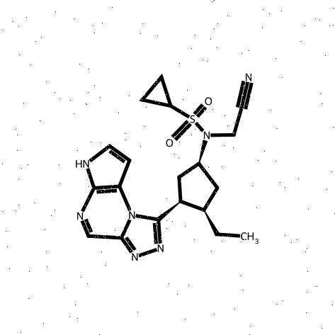 CC[C@@H]1C[C@H](N(CC#N)S(=O)(=O)C2CC2)C[C@@H]1c1nnc2cnc3[nH]ccc3n12